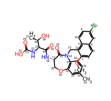 COc1ccc2cc(Br)ccc2c1CN1C(=O)[C@@H](NC(=O)[C@@H](NC(=O)O)[C@@H](C)O)COc2cc(C)ccc21